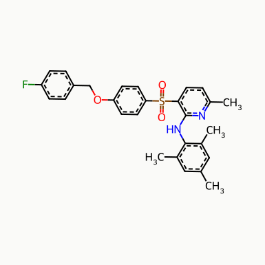 Cc1cc(C)c(Nc2nc(C)ccc2S(=O)(=O)c2ccc(OCc3ccc(F)cc3)cc2)c(C)c1